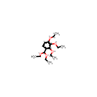 CCO[C](OCC)c1ccc(OCC)c(OCC)c1OCC